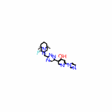 C[C@]12CCC[C@](C)(N1)[C@@H](F)/C(=C/c1ncc(-c3cnc(-n4ccnc4)cc3O)nn1)C2